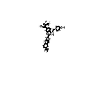 CC(C)(C)[C@H]1CCc2nc3sc(C(=O)N[C@H](CCN4CCC(O)CC4)c4ccc(-c5c[nH]nc5C(F)(F)F)cc4)nc3cc2C1